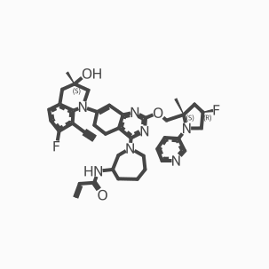 C#Cc1c(F)ccc2c1N(C1=Cc3nc(OC[C@]4(C)C[C@@H](F)CN4c4cccnc4)nc(N4CCCCC(NC(=O)C=C)C4)c3CC1)C[C@@](C)(O)C2